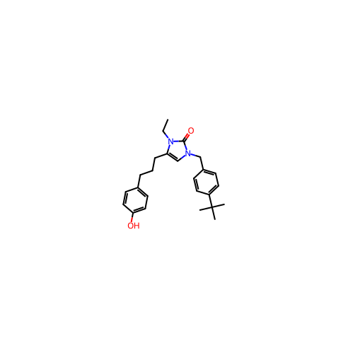 CCn1c(CCCc2ccc(O)cc2)cn(Cc2ccc(C(C)(C)C)cc2)c1=O